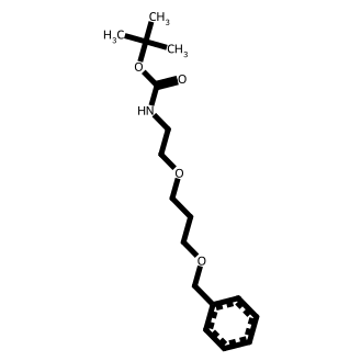 CC(C)(C)OC(=O)NCCOCCCOCc1ccccc1